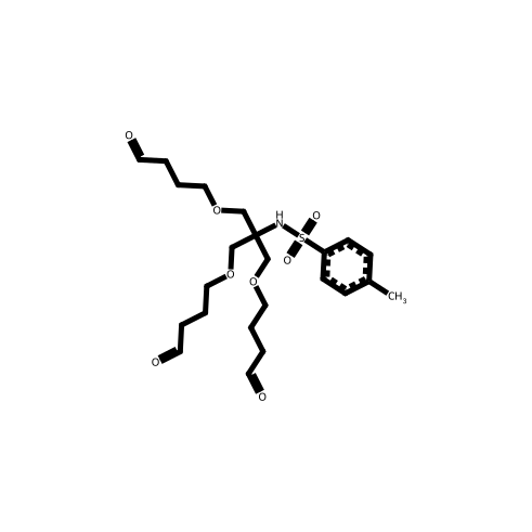 Cc1ccc(S(=O)(=O)NC(COCCCC=O)(COCCCC=O)COCCCC=O)cc1